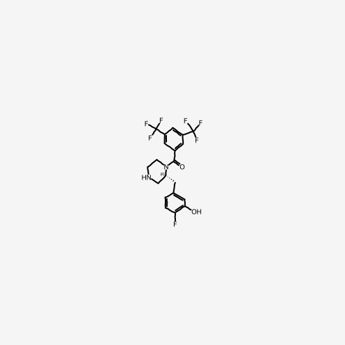 O=C(c1cc(C(F)(F)F)cc(C(F)(F)F)c1)N1CCNC[C@H]1Cc1ccc(F)c(O)c1